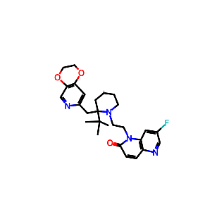 CC(C)(C)C1(Cc2cc3c(cn2)OCCO3)C[CH]CCN1CCn1c(=O)ccc2ncc(F)cc21